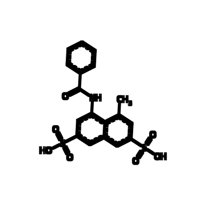 Cc1cc(S(=O)(=O)O)cc2cc(S(=O)(=O)O)cc(NC(=O)c3ccccc3)c12